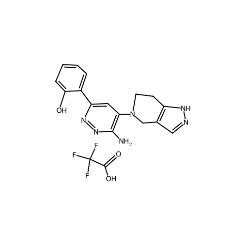 Nc1nnc(-c2ccccc2O)cc1N1CCc2[nH]ncc2C1.O=C(O)C(F)(F)F